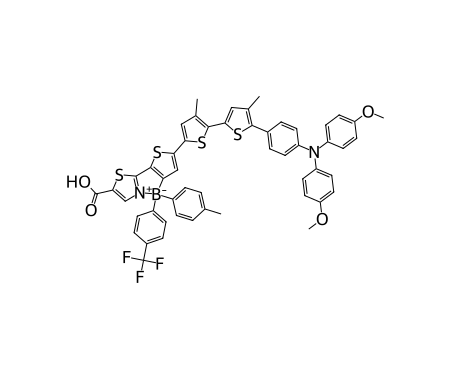 COc1ccc(N(c2ccc(OC)cc2)c2ccc(-c3sc(-c4sc(-c5cc6c(s5)-c5sc(C(=O)O)c[n+]5[B-]6(c5ccc(C)cc5)c5ccc(C(F)(F)F)cc5)cc4C)cc3C)cc2)cc1